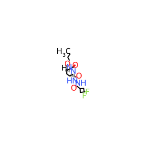 CCCCON1C(=O)N2C[C@H]1CC[C@H]2C(=O)NNC(=O)C1CC(F)(F)C1